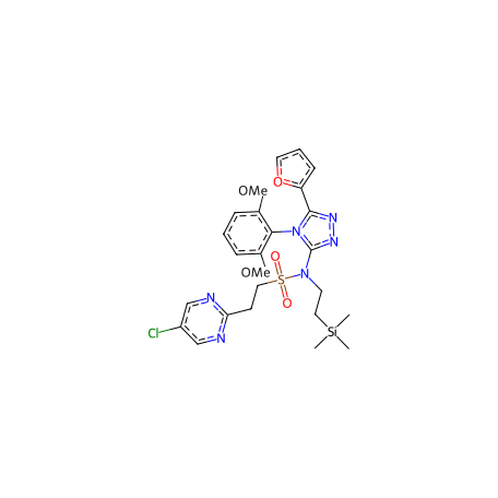 COc1cccc(OC)c1-n1c(-c2ccco2)nnc1N(CC[Si](C)(C)C)S(=O)(=O)CCc1ncc(Cl)cn1